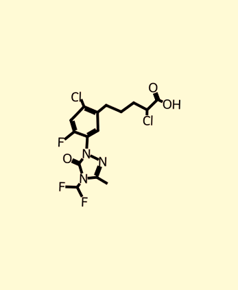 Cc1nn(-c2cc(CCCC(Cl)C(=O)O)c(Cl)cc2F)c(=O)n1C(F)F